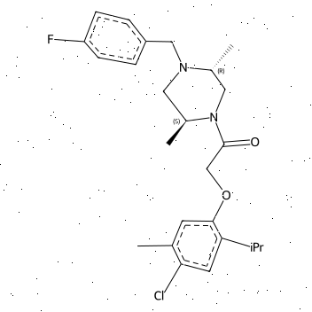 Cc1cc(OCC(=O)N2C[C@@H](C)N(Cc3ccc(F)cc3)C[C@@H]2C)c(C(C)C)cc1Cl